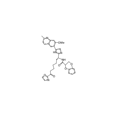 COc1cc2nc(C)ccc2cc1-c1cnc([C@H](CCCCCC(=O)c2ncco2)NC(=O)C2COc3ccccc3O2)[nH]1